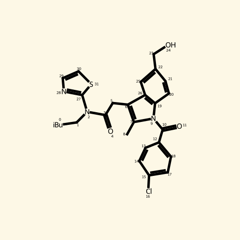 CCC(C)CN(C(=O)Cc1c(C)n(C(=O)c2ccc(Cl)cc2)c2ccc(CO)cc12)c1nccs1